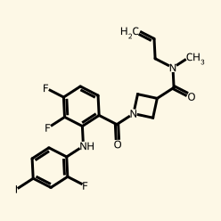 C=CCN(C)C(=O)C1CN(C(=O)c2ccc(F)c(F)c2Nc2ccc(I)cc2F)C1